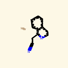 Br.N#CCc1nccc2ccccc12